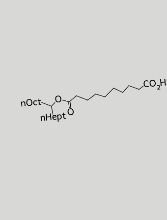 CCCCCCCCC(CCCCCCC)OC(=O)CCCCCCCCC(=O)O